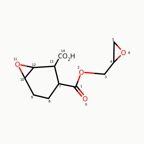 O=C(OCC1CO1)C1CCC2OC2C1C(=O)O